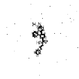 NC1=NC=C(c2ccc(C(=O)NCCCN3CCCC3)cc2)N(c2cccnc2)C1